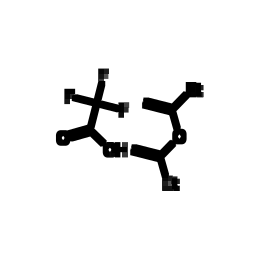 C=C(CC)OC(=C)CC.O=C(O)C(F)(F)F